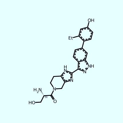 CCc1cc(O)ccc1-c1ccc2c(-c3nc4c([nH]3)CCN(C(=O)[C@@H](N)CO)C4)n[nH]c2c1